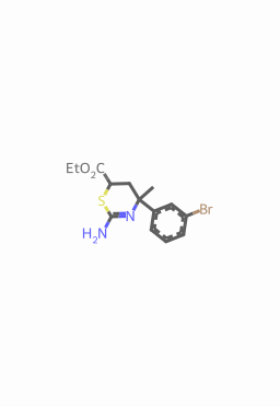 CCOC(=O)C1CC(C)(c2cccc(Br)c2)N=C(N)S1